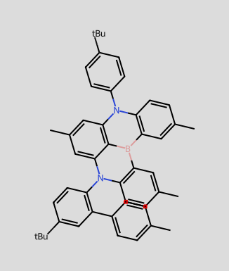 Cc1ccc(-c2cc(C(C)(C)C)ccc2N2c3ccc(C)cc3B3c4cc(C)ccc4N(c4ccc(C(C)(C)C)cc4)c4cc(C)cc2c43)cc1